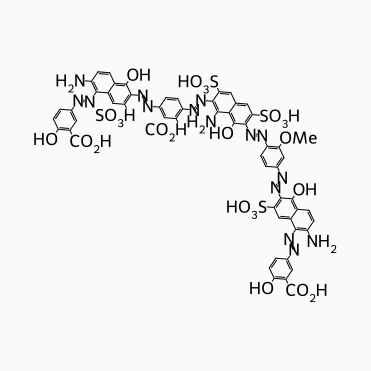 COc1cc(N=Nc2c(S(=O)(=O)O)cc3c(N=Nc4ccc(O)c(C(=O)O)c4)c(N)ccc3c2O)ccc1N=Nc1c(S(=O)(=O)O)cc2cc(S(=O)(=O)O)c(N=Nc3ccc(N=Nc4c(S(=O)(=O)O)cc5c(N=Nc6ccc(O)c(C(=O)O)c6)c(N)ccc5c4O)cc3C(=O)O)c(N)c2c1O